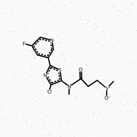 CN(C(=O)CC[S+](C)[O-])c1sc(-c2cncc(F)c2)nc1Cl